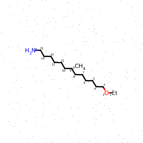 C.CCOCCCCCCCCCCCCCN